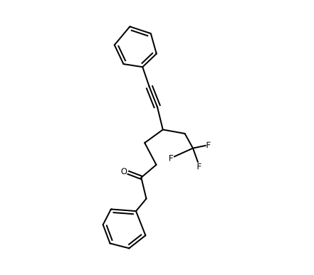 O=C(CCC(C#Cc1ccccc1)CC(F)(F)F)Cc1ccccc1